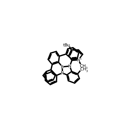 Cc1cccc2c1N(c1cc(C(C)(C)C)cc[n+]1C)B(c1c(-c3ccccc3)cccc1-c1ccccc1)N2c1ccccc1